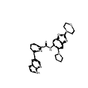 O=C(Nc1cc2oc(N3CCOCC3)nc2cc1N1CCCC1)c1cccc(-c2cnc3[nH]ccc3c2)n1